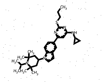 CCCSc1nc(NC2CC2)cc(-c2ccc3c(ccn3C3CC(C)(C)N(C(C)C)C(C)(C)C3)c2)n1